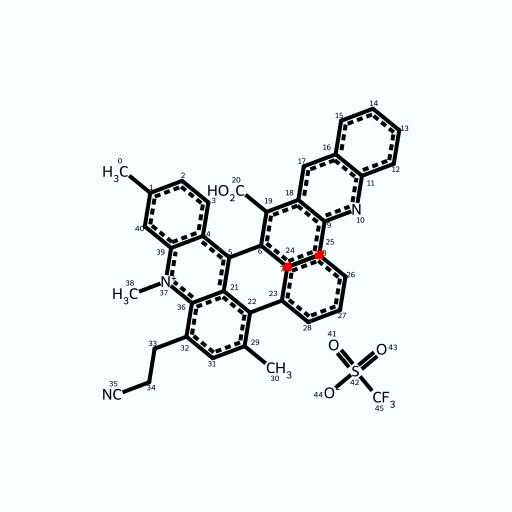 Cc1ccc2c(-c3ccc4nc5ccccc5cc4c3C(=O)O)c3c(-c4ccccc4)c(C)cc(CCC#N)c3[n+](C)c2c1.O=S(=O)([O-])C(F)(F)F